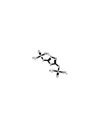 NP(N)(=O)Sc1nnc(SP(N)(N)=O)s1